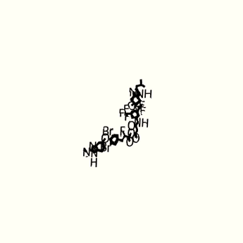 CC(C)Cc1nc2cc(Oc3c(C(F)(F)F)cc(NC(=O)CC(=O)OC(=O)C(F)Cc4cc(Br)c(Oc5ccc6[nH]c(N(C)C)nc6c5)c(Br)c4)cc3C(F)(F)F)ccc2[nH]1